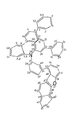 c1ccc(-c2ccc(-c3ccccc3N(c3cccc(-c4ccccc4)c3)c3cccc(-c4cccc5oc6c7ccccc7ccc6c45)c3)cc2)cc1